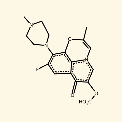 CC1=Cn2cc(OC(=O)O)c(=O)c3cc(F)c(N4CCN(C)CC4)c(c32)O1